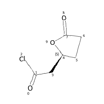 O=C(Cl)C[C@@H]1CCC(=O)O1